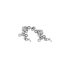 COc1cccc2c(C(=O)N3CCC[C@H]3c3nc4cc(-c5cnc(-c6ccc7nc([C@@H]8CCCN8C(=O)c8nc(Cl)cc9c(OC)cccc89)[nH]c7c6)o5)ccc4[nH]3)nc(Cl)cc12